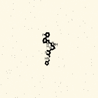 Fc1ccccc1-c1cccc2[nH]c(-c3n[nH]c4ccc(-c5cncc(CNCC6CCCC6)c5)nc34)cc12